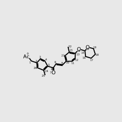 CC(=O)Cc1ccc(C(=O)/C=C/c2ccc(OC3CCCCO3)c(C)c2)c(C)c1